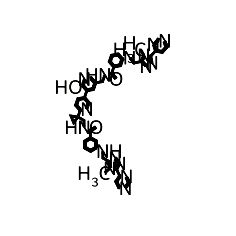 Cn1c(CNc2cccc(C(=O)NCc3cnc(O)c(-c4ccc(C5(CNC(=O)c6cccc(NCc7nnc(-c8ccncn8)n7C)c6)CC5)nc4)c3)c2)nnc1-c1ccncn1